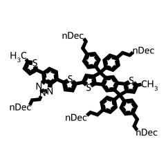 CCCCCCCCCCCCc1ccc(C2(c3ccc(CCCCCCCCCCCC)cc3)c3cc4c(cc3-c3sc(C)cc32)C(c2ccc(CCCCCCCCCCCC)cc2)(c2ccc(CCCCCCCCCCCC)cc2)c2cc(-c3ccc(-c5ccc(-c6ccc(C)s6)c6nn(CCCCCCCCCCCC)nc56)s3)sc2-4)cc1